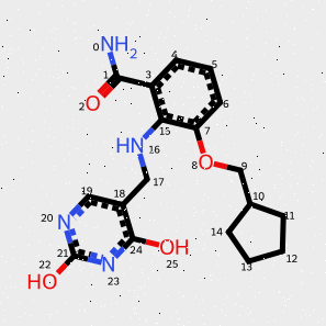 NC(=O)c1cccc(OCC2CCCC2)c1NCc1cnc(O)nc1O